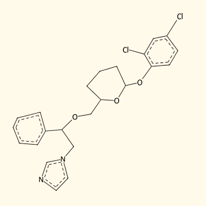 Clc1ccc(OC2CCCC(COC(Cn3ccnc3)c3ccccc3)O2)c(Cl)c1